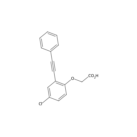 O=C(O)COc1ccc(Cl)cc1C#Cc1ccccc1